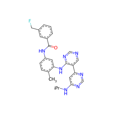 Cc1ccc(NC(=O)c2cccc(CF)c2)cc1Nc1ncncc1-c1cc(NC(C)C)ncn1